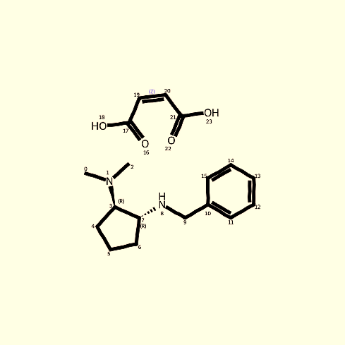 CN(C)[C@@H]1CCC[C@H]1NCc1ccccc1.O=C(O)/C=C\C(=O)O